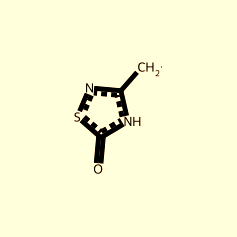 [CH2]c1nsc(=O)[nH]1